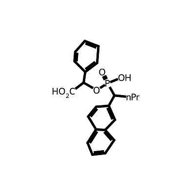 CCCC(c1ccc2ccccc2c1)P(=O)(O)OC(C(=O)O)c1ccccc1